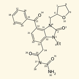 CCn1c(=O)n(CC2CCCO2)c2c(C(=O)c3ccccc3)ccc(CC(=O)N(C)C(N)=O)c21